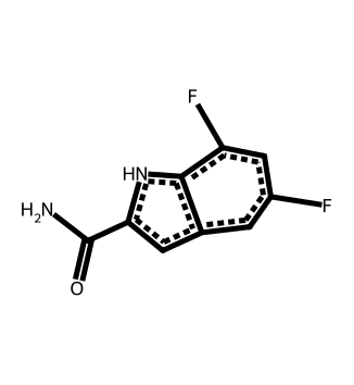 NC(=O)c1cc2cc(F)cc(F)c2[nH]1